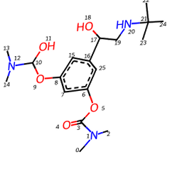 CN(C)C(=O)Oc1cc(OC(O)N(C)C)cc(C(O)CNC(C)(C)C)c1